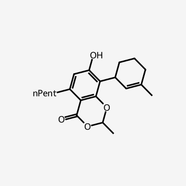 CCCCCc1cc(O)c(C2C=C(C)CCC2)c2c1C(=O)OC(C)O2